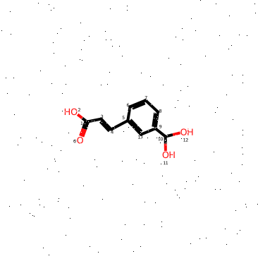 O=C(O)C=Cc1cccc(C(O)O)c1